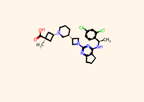 C[C@@H](Nc1nc(N2CC([C@H]3CCCN([C@H]4C[C@](C)(C(=O)O)C4)C3)C2)nc2c1CCC2)c1ccc(Cl)cc1Cl